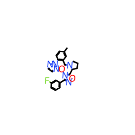 Cc1ccc(-n2nccn2)c(C(=O)N2CCCC2c2nc(-c3cccc(F)c3)no2)c1